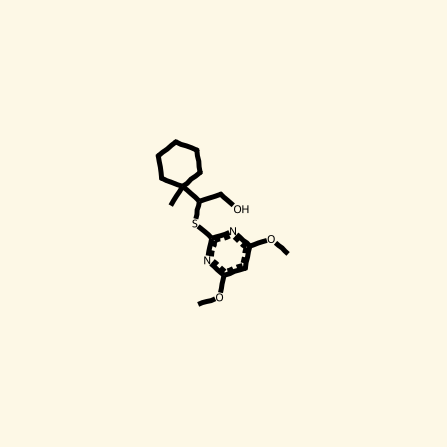 COc1cc(OC)nc(SC(CO)C2(C)CCCCC2)n1